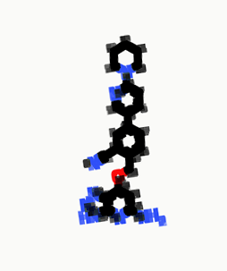 N#Cc1cc(-c2ccc(N3CCCCC3)nc2)ccc1COc1cc(N)nc2[nH]nnc12